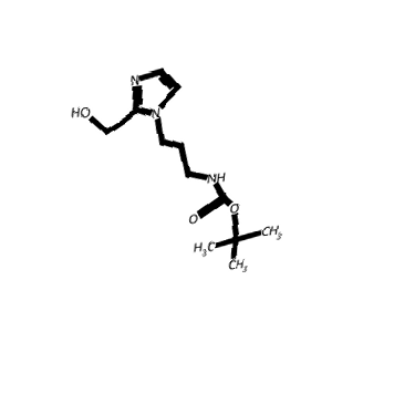 CC(C)(C)OC(=O)NCCCn1ccnc1CO